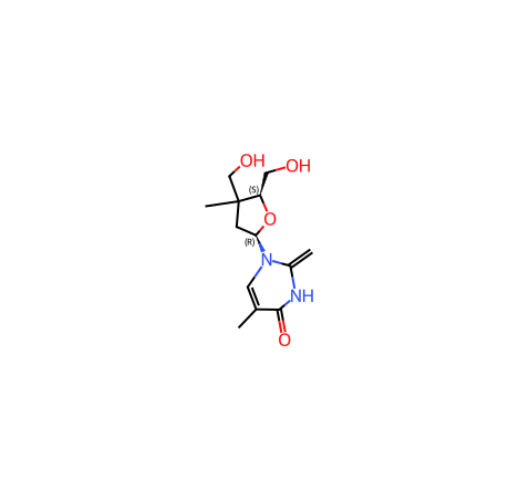 C=C1NC(=O)C(C)=CN1[C@H]1CC(C)(CO)[C@@H](CO)O1